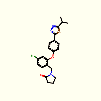 CC(C)c1nnc(-c2ccc(Oc3cc(Br)ccc3CN3CCCC3=O)cc2)s1